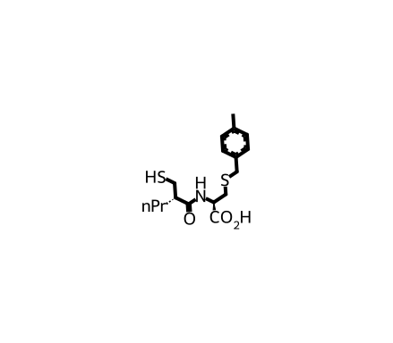 CCC[C@H](CS)C(=O)N[C@@H](CSCc1ccc(C)cc1)C(=O)O